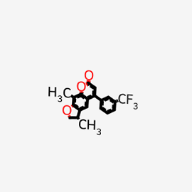 Cc1c2c(cc3c(-c4cccc(C(F)(F)F)c4)cc(=O)oc13)C(C)CO2